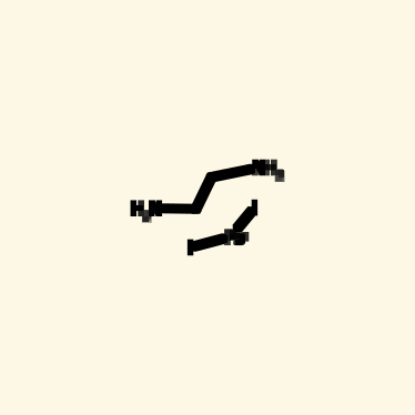 NCCN.[I][Pb][I]